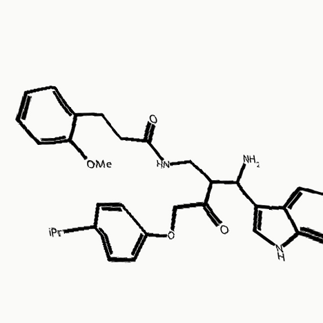 COc1ccccc1CCC(=O)NCC(C(=O)COc1ccc(C(C)C)cc1)C(N)c1c[nH]c2ccccc12